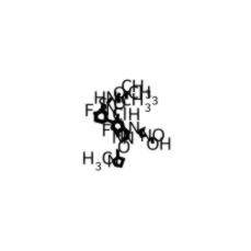 CN1CCCC1COc1nc(NC2CN(C(=O)O)C2)c2cc(Cl)c(-c3ccc(F)c4sc(NC(=O)OC(C)(C)C)nc34)c(F)c2n1